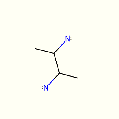 CC([N])C(C)[N]